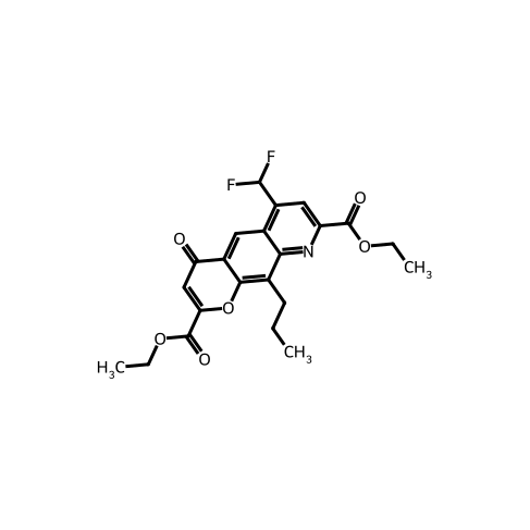 CCCc1c2nc(C(=O)OCC)cc(C(F)F)c2cc2c(=O)cc(C(=O)OCC)oc12